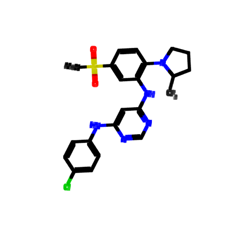 CNS(=O)(=O)c1ccc(N2CCCC2C(F)(F)F)c(Nc2cc(Nc3ccc(Cl)cc3)ncn2)c1